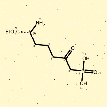 CCOC(=O)[C@H](N)CCCC(=O)CP(=O)(O)O